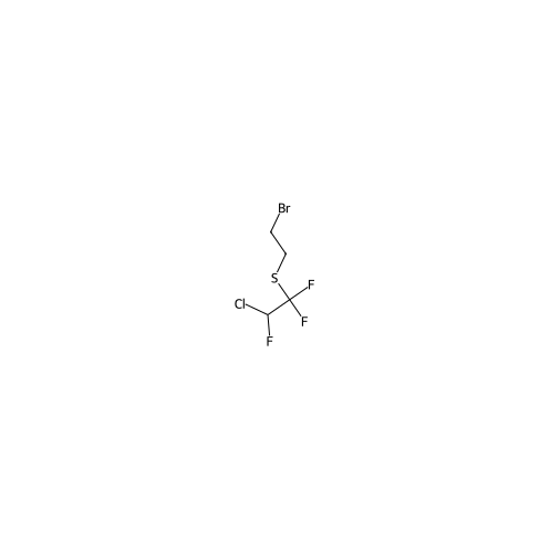 FC(Cl)C(F)(F)SCCBr